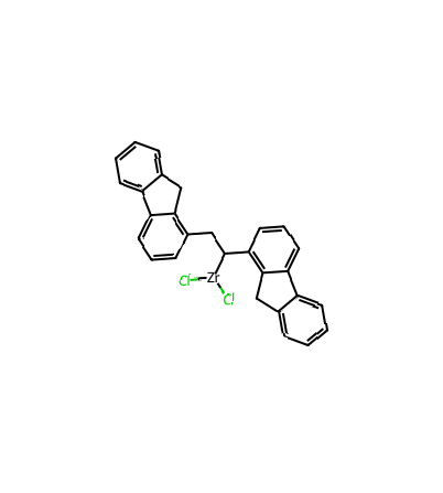 [Cl][Zr]([Cl])[CH](Cc1cccc2c1Cc1ccccc1-2)c1cccc2c1Cc1ccccc1-2